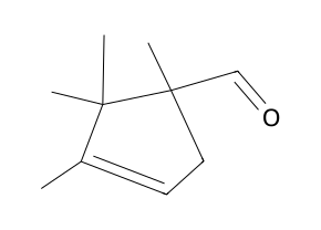 CC1=CCC(C)(C=O)C1(C)C